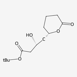 CC(C)(C)OC(=O)C[C@H](O)C[C@@H]1CCCC(=O)O1